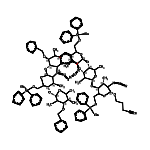 C#CCCCO[C@@H]1OC(CO[Si](c2ccccc2)(c2ccccc2)C(C)(C)C)[C@@H](O[C@@H]2OC(C)[C@@H](O[C@@H]3OC(CO[Si](c4ccccc4)(c4ccccc4)C(C)(C)C)[C@@H](O[C@@H]4OC(C)[C@H](O[C@@H]5OC(CO[Si](c6ccccc6)(c6ccccc6)C(C)(C)C)[C@@H](O[C@@H]6OC(C)[C@@H](C)[C@@H](OCc7ccccc7)C6C)[C@H](C)C5N=[N+]=[N-])[C@@H](OCc5ccccc5)C4C)[C@H](C)C3N=[N+]=[N-])[C@@H](OCc3ccccc3)C2C)[C@H](C)C1N=[N+]=[N-]